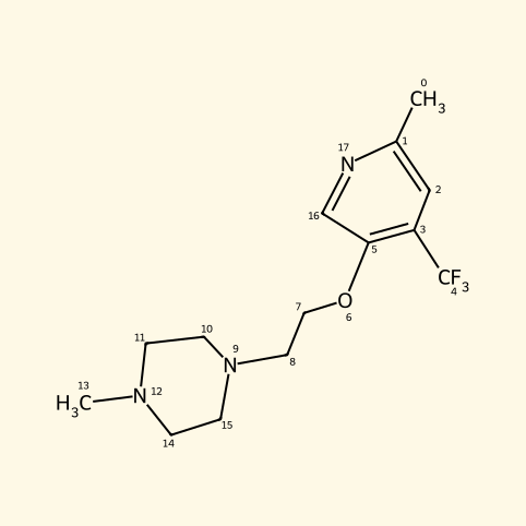 Cc1cc(C(F)(F)F)c(OCCN2CCN(C)CC2)cn1